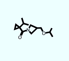 CC(C)OCC1CN(C(=O)C2(C(C)C)CC2)C1